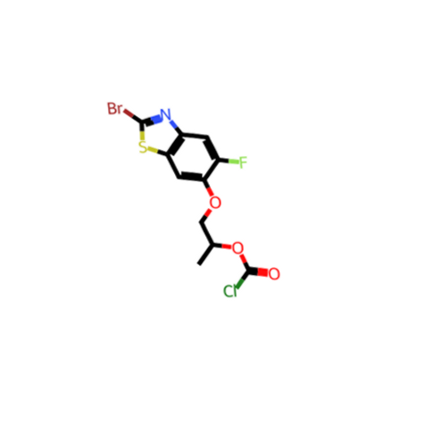 CC(COc1cc2sc(Br)nc2cc1F)OC(=O)Cl